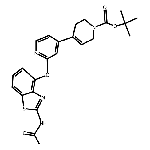 CC(=O)Nc1nc2c(Oc3cc(C4=CCN(C(=O)OC(C)(C)C)CC4)ccn3)cccc2s1